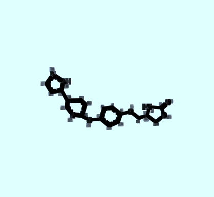 O=C1N[C@H](COc2ccc(Oc3ccc(-c4ccn[nH]4)cn3)cc2)CO1